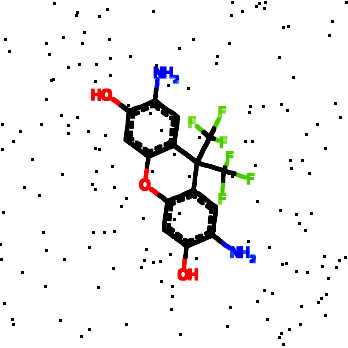 Nc1cc2c(cc1O)Oc1cc(O)c(N)cc1C2(C(F)(F)F)C(F)(F)F